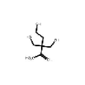 C=C(C(=O)O)C(CO)(CO)CCO